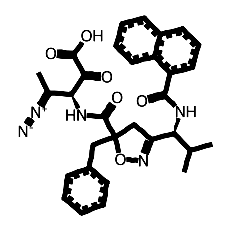 CC(=[N+]=[N-])[C@H](NC(=O)C1(Cc2ccccc2)CC([C@@H](NC(=O)c2cccc3ccccc23)C(C)C)=NO1)C(=O)C(=O)O